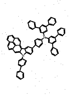 c1ccc(-c2ccc(-n3c4ccc(-c5ccc(N(c6cc(-c7ccccc7)cc(-c7ccccc7)c6)c6cc(-c7ccccc7)cc(-c7ccccc7)c6)cc5)cc4c4c5ccc6cccc7ccc(cc43)c5c76)cc2)cc1